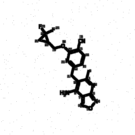 Cc1nc2nonc2c(N)c1Cc1ccc(C#N)c(OCC2CC2(F)F)n1